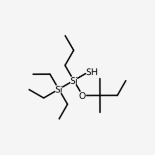 CCC[Si](S)(OC(C)(C)CC)[Si](CC)(CC)CC